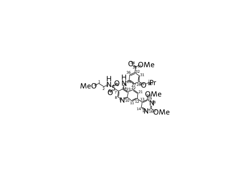 COCCNS(=O)(=O)c1cnc2cc(-c3cnc(OC)nc3OC)ccc2c1Nc1cc(OC(C)C)cc(C(=O)OC)c1